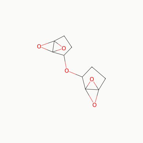 C1CC23OC2(O3)C1OC1CCC23OC12O3